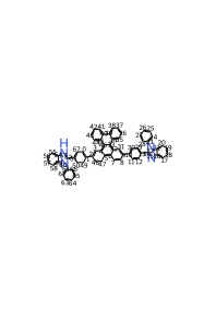 C1=C(C2=Cc3c(c4ccc(-c5ccc(-c6nc7ccccc7n6-c6ccccc6)cc5)cc4c4c5ccccc5c5ccccc5c34)CC2)CCC(C2Nc3ccccc3N2c2ccccc2)=C1